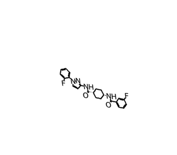 O=C(N[C@H]1CC[C@@H](C(=O)Nc2ccn(-c3ccccc3F)n2)CC1)c1cccc(F)c1